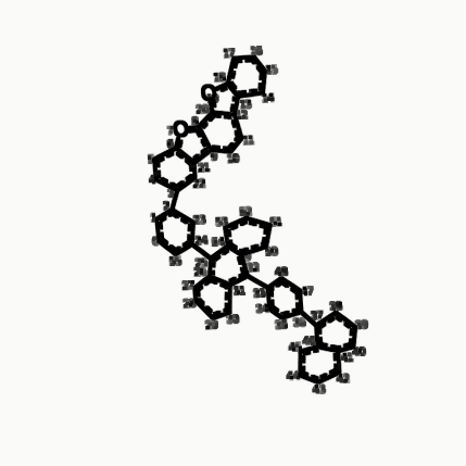 c1cc(-c2ccc3oc4c(ccc5c6ccccc6oc54)c3c2)cc(-c2c3ccccc3c(-c3ccc(-c4cccc5ccccc45)cc3)c3ccccc23)c1